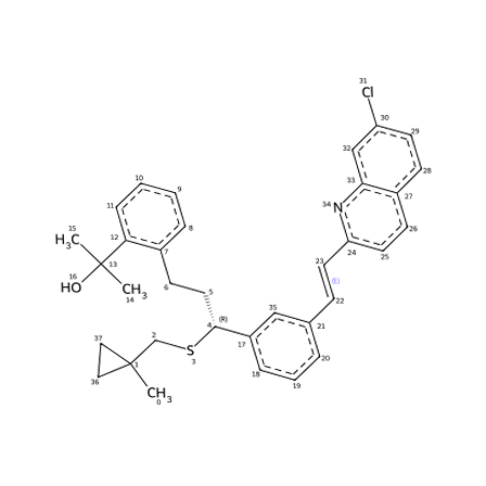 CC1(CS[C@H](CCc2ccccc2C(C)(C)O)c2cccc(/C=C/c3ccc4ccc(Cl)cc4n3)c2)CC1